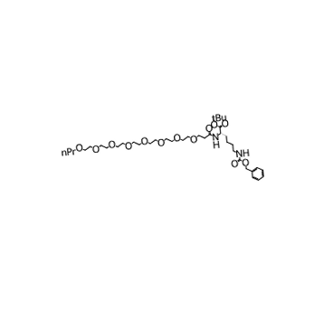 CCCOCCOCCOCCOCCOCCOCCOCCOCCC(=O)N[C@@H](CCCCNC(=O)OCc1ccccc1)C(=O)OC(C)(C)C